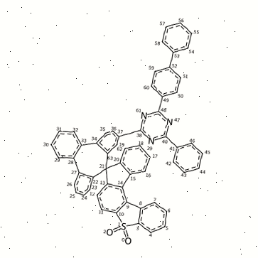 O=S1(=O)c2ccccc2-c2c1ccc1c2-c2ccccc2C12c1ccccc1-c1ccccc1-c1ccc(-c3nc(-c4ccccc4)nc(-c4ccc(-c5ccccc5)cc4)n3)cc12